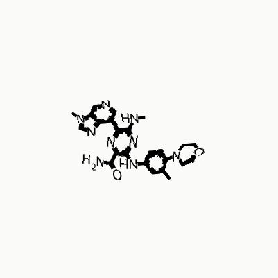 CNc1nc(Nc2ccc(N3CCOCC3)c(C)c2)c(C(N)=O)nc1-c1cncc2c1ncn2C